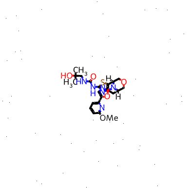 COc1cccc(-c2cnc(N3[C@@H]4COC[C@H]3c3sc(NC(=O)NCC(C)(C)O)nc3C4)o2)n1